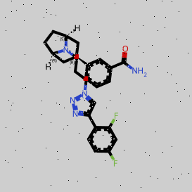 NC(=O)c1cccc([C@H]2C[C@H]3CC[C@@H](C2)N3CCCn2cc(-c3ccc(F)cc3F)nn2)c1